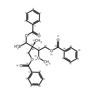 BC(OC(=O)c1ccccc1)[C@@](C)(COC(=O)c1ccccc1)C(COC(=O)c1ccccc1)OC